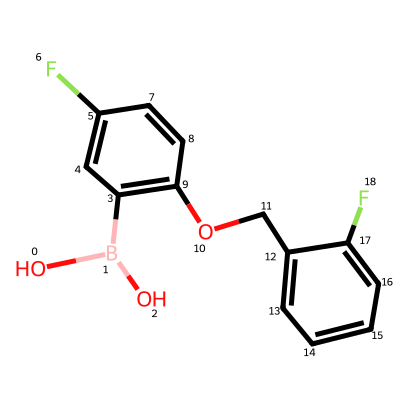 OB(O)c1cc(F)ccc1OCc1ccccc1F